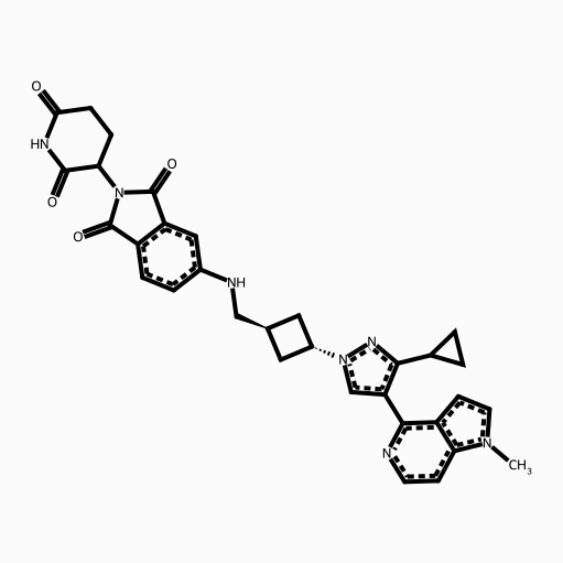 Cn1ccc2c(-c3cn([C@H]4C[C@H](CNc5ccc6c(c5)C(=O)N(C5CCC(=O)NC5=O)C6=O)C4)nc3C3CC3)nccc21